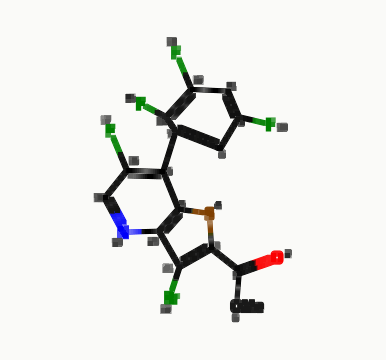 COC(=O)c1sc2c(-c3cc(F)cc(F)c3F)c(F)cnc2c1Br